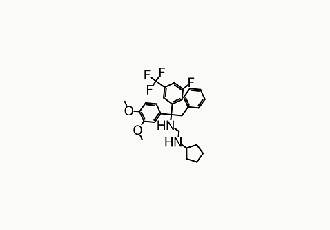 COc1ccc(C(Cc2ccccc2)(NCNC2CCCC2)c2cc(F)cc(C(F)(F)F)c2)cc1OC